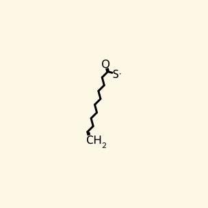 C=CCCCCCCCCC(=O)[S]